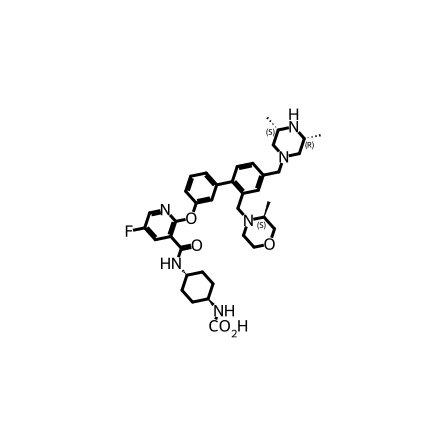 C[C@@H]1CN(Cc2ccc(-c3cccc(Oc4ncc(F)cc4C(=O)N[C@H]4CC[C@H](NC(=O)O)CC4)c3)c(CN3CCOC[C@@H]3C)c2)C[C@H](C)N1